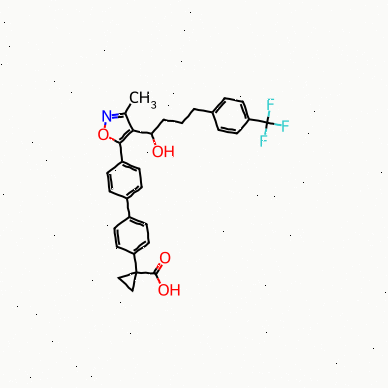 Cc1noc(-c2ccc(-c3ccc(C4(C(=O)O)CC4)cc3)cc2)c1C(O)CCCc1ccc(C(F)(F)F)cc1